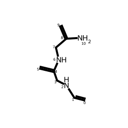 C=CNCC(=C)NCC(=C)N